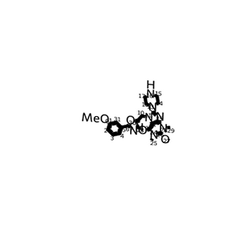 COc1cccc(-c2nnc(Cn3c(N4CCNCC4)nc4c3c(=O)n(C)c(=O)n4C)o2)c1